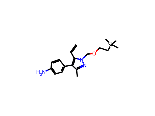 C=Cc1c(-c2ccc(N)cc2)c(C)nn1COCC[Si](C)(C)C